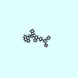 c1ccc(-c2nc(-c3ccccc3)nc(-c3ccc(-c4ccc(-c5cc6nc(-c7cccc8ccc9ccccc9c78)oc6c6c5oc5ccccc56)c5ccccc45)cc3)n2)cc1